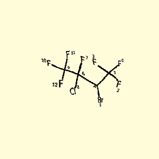 FC(F)(F)C(Br)C(F)(Cl)C(F)(F)F